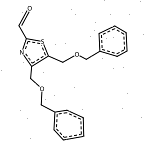 O=Cc1nc(COCc2ccccc2)c(COCc2ccccc2)s1